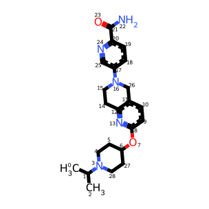 CC(C)N1CCC(Oc2ccc3c(n2)CCN(c2ccc(C(N)=O)nc2)C3)CC1